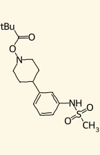 CC(C)(C)C(=O)ON1CCC(c2cccc(NS(C)(=O)=O)c2)CC1